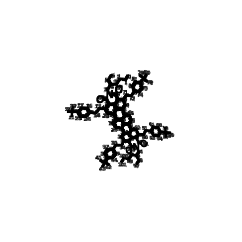 CCCCC(CC)CN1C(=O)c2c(CCc3ccc(C(C)(C)C)cc3)cc3c4ccc5c6cc(CCc7ccc(C(C)(C)C)cc7)c7c8c(c(CCc9ccc(C(C)(C)C)cc9)cc(c9ccc(c%10cc(CCc%11ccc(C(C)(C)C)cc%11)c(c2c3%10)C1=O)c4c59)c86)C(=O)N(CC(CC)CCCC)C7=O